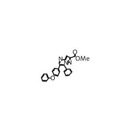 COC(=O)c1cc2ncc(-c3ccc(Oc4ccccc4)cc3)c(-c3ccccc3)n2n1